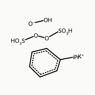 CC(C)c1ccccc1.O=S(=O)(O)OOS(=O)(=O)O.[K+].[O-]O